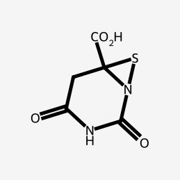 O=C1CC2(C(=O)O)SN2C(=O)N1